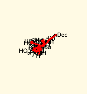 CCCCCCCCCCCCCCCC(=O)NCCCCCC(=O)NCCCC[C@H](NC(=O)[C@@H](NC(=O)[C@H](CCCCNC(=O)CCCO[C@@H]1O[C@H](CO)[C@H](O)[C@H](O)[C@H]1O)NC(=O)[C@@H]1CCCN1C(=O)[C@@H](NC(=O)[C@H](Cc1cnc[nH]1)NC(=O)[C@@H](NC(=O)[C@H](CCC(=O)O)NC(=O)CC(C)C)[C@@H](C)O)C(c1ccccc1)c1ccccc1)[C@@H](C)CC)C(=O)N[C@H](CC(N)=O)Cc1ccccc1